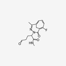 CNC(=O)C(CCC=O)N1N=C(C)C2=CC=CC(F)=C(C2)C1=O